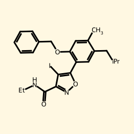 CCNC(=O)c1noc(-c2cc(CC(C)C)c(C)cc2OCc2ccccc2)c1I